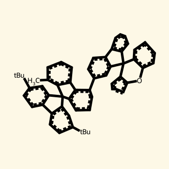 Cc1cccc2c1C1(c3cc(C(C)(C)C)ccc3-c3ccc(C(C)(C)C)cc31)c1cccc(-c3ccc4c(c3)C3(c5ccccc5Oc5ccccc53)c3ccccc3-4)c1-2